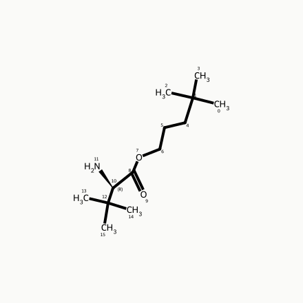 CC(C)(C)CCCOC(=O)[C@H](N)C(C)(C)C